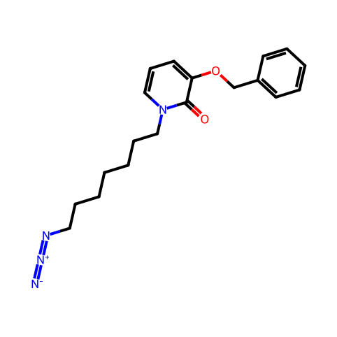 [N-]=[N+]=NCCCCCCCn1cccc(OCc2ccccc2)c1=O